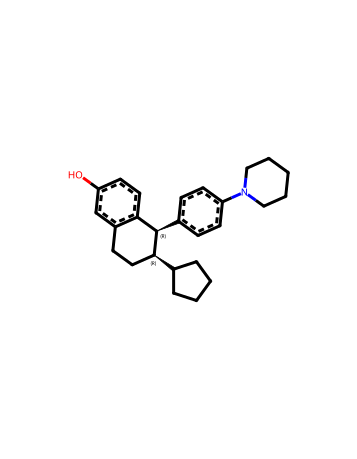 Oc1ccc2c(c1)CC[C@H](C1CCCC1)[C@@H]2c1ccc(N2CCCCC2)cc1